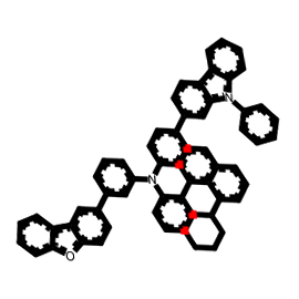 c1ccc(-n2c3ccccc3c3ccc(-c4ccc(N(c5cccc(-c6ccc7oc8ccccc8c7c6)c5)c5ccccc5-c5cccc6cccc(C7CCCCC7)c56)cc4)cc32)cc1